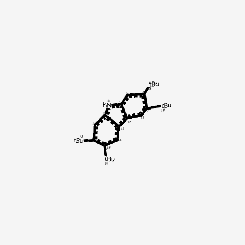 CC(C)(C)c1cc2[nH]c3cc(C(C)(C)C)c(C(C)(C)C)cc3c2cc1C(C)(C)C